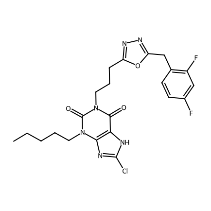 CCCCCn1c(=O)n(CCCc2nnc(Cc3ccc(F)cc3F)o2)c(=O)c2[nH]c(Cl)nc21